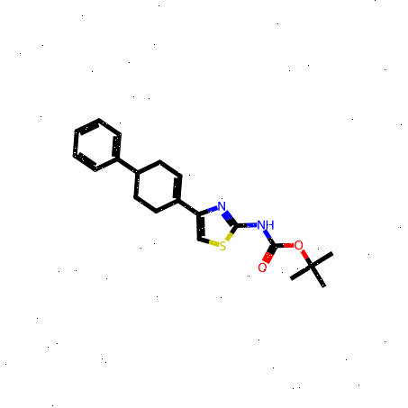 CC(C)(C)OC(=O)Nc1nc(C2=CCC(c3ccccc3)CC2)cs1